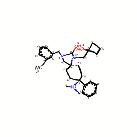 CN(C)[C@]1(c2ccccc2)CC[C@]2(CC1)CN(Cc1cccc(C#N)c1)C(O)N2CC1(O)CCC1